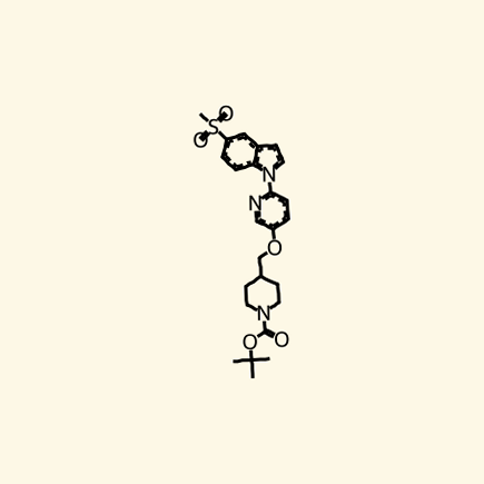 CC(C)(C)OC(=O)N1CCC(COc2ccc(-n3ccc4cc(S(C)(=O)=O)ccc43)nc2)CC1